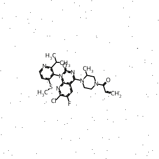 C=CC(=O)N1CCN(c2nc(=O)n(-c3c(SC)ccnc3C(C)C)c3nc(Cl)c(F)cc23)C(C)C1